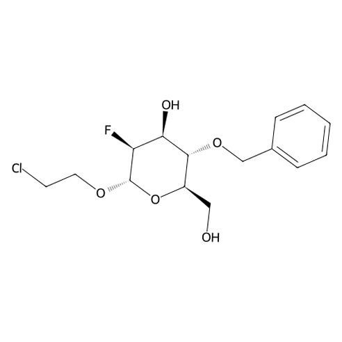 OC[C@H]1O[C@H](OCCCl)[C@@H](F)[C@@H](O)[C@@H]1OCc1ccccc1